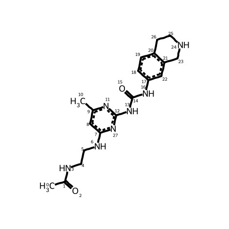 CC(=O)NCCNc1cc(C)nc(NC(=O)Nc2ccc3c(c2)CNCC3)n1